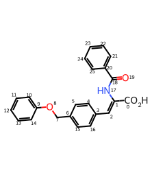 O=C(O)/C(=C/c1ccc(COc2ccccc2)cc1)NC(=O)c1ccccc1